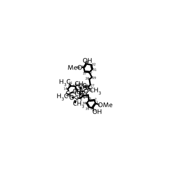 COc1cc(CCC[Si](C)(C)O[Si](C)(C)CC(C)C(C)C[Si](C)(C)O[Si](C)(C)CCCc2ccc(O)c(OC)c2)ccc1O